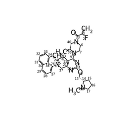 C=C(F)C(=O)N1CCN(c2nc(OC[C@@H]3CCCN3C)nc3c2CCN(c2cccc4cccc(C)c24)C3)[C@@H](C)C1